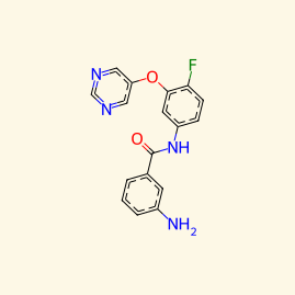 Nc1cccc(C(=O)Nc2ccc(F)c(Oc3cncnc3)c2)c1